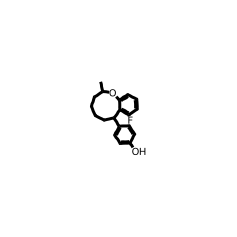 CC1CCCCC(c2ccc(O)cc2)c2c(F)cccc2O1